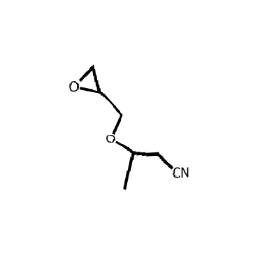 CC(CC#N)OCC1CO1